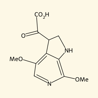 COc1cnc(OC)c2c1C(C(=O)C(=O)O)CN2